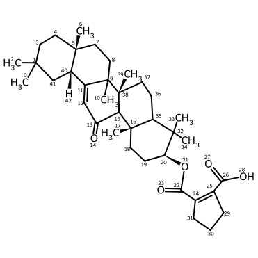 CC1(C)CC[C@]2(C)CCC3(C)C(=CC(=O)C4[C@@]5(C)CC[C@H](OC(=O)C6=C(C(=O)O)CCC6)C(C)(C)C5CC[C@]43C)[C@@H]2C1